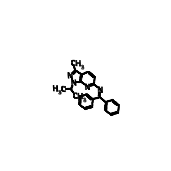 Cc1nn(C(C)C)c2nc(N=C(c3ccccc3)c3ccccc3)ccc12